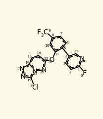 Fc1ccc(-c2ccc(C(F)(F)F)cc2Oc2ccc3nnc(Cl)n3n2)cn1